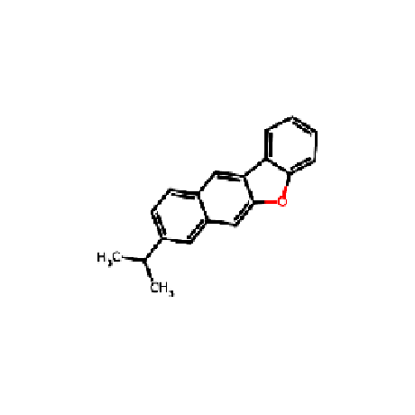 CC(C)c1ccc2cc3c(cc2c1)oc1ccccc13